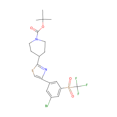 CC(C)(C)OC(=O)N1CCC(c2nc(-c3cc(Br)cc(S(=O)(=O)C(F)(F)F)c3)cs2)CC1